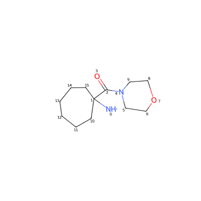 [NH]C1(C(=O)N2CCOCC2)CCCCCC1